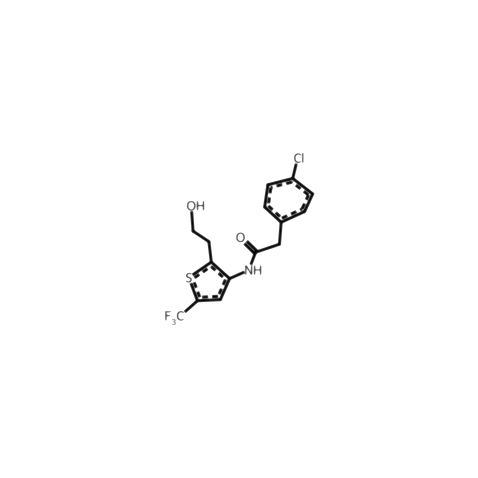 O=C(Cc1ccc(Cl)cc1)Nc1cc(C(F)(F)F)sc1CCO